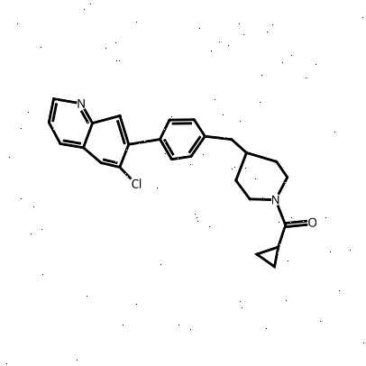 O=C(C1CC1)N1CCC(Cc2ccc(-c3cc4ncccc4cc3Cl)cc2)CC1